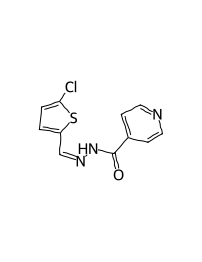 O=C(N/N=C\c1ccc(Cl)s1)c1ccncc1